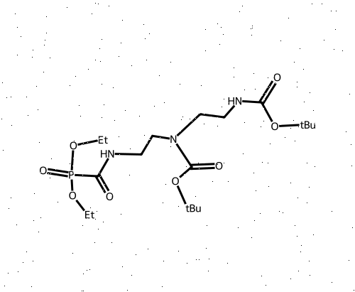 CCOP(=O)(OCC)C(=O)NCCN(CCNC(=O)OC(C)(C)C)C(=O)OC(C)(C)C